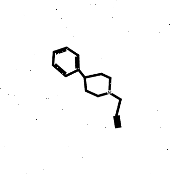 C#CCN1CCC(c2ccccc2)CC1